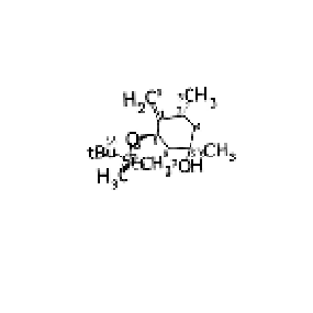 C=C1[C@H](C)C[C@@](C)(O)C[C@H]1O[Si](C)(C)C(C)(C)C